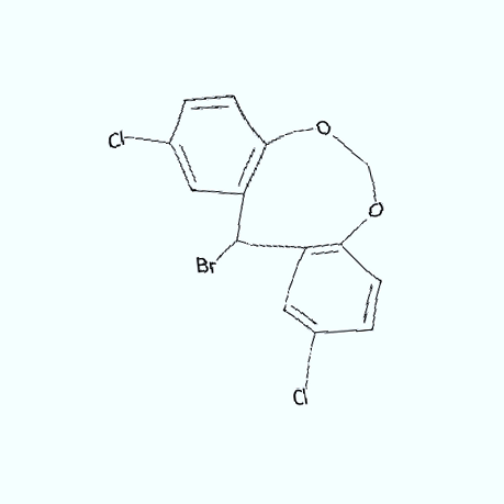 Clc1ccc2c(c1)C(Br)c1cc(Cl)ccc1OCO2